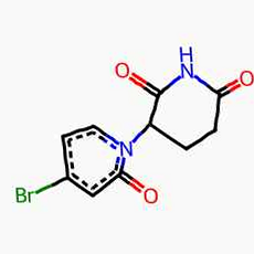 O=C1CCC(n2ccc(Br)cc2=O)C(=O)N1